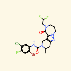 C[C@@H]1Cc2nn3c(c2CN1C(=O)Nc1cc(Cl)c(F)cc1Br)C(=O)N(CC(F)F)CCC3